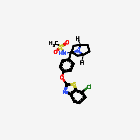 CS(=O)(=O)N[C@@H]1C[C@H]2CC[C@@H](C1)N2Cc1ccc(Oc2nc3cccc(Cl)c3s2)cc1